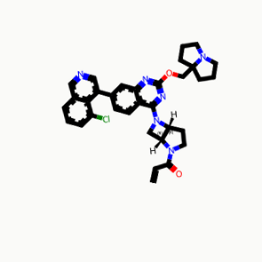 C=CC(=O)N1CC[C@@H]2[C@H]1CN2c1nc(OCC23CCCN2CCC3)nc2cc(-c3cncc4cccc(Cl)c34)ccc12